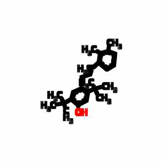 Cc1cccc([SiH2]CCc2cc(C(C)(C)C)c(O)cc2C(C)(C)C)c1C